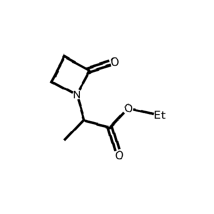 CCOC(=O)C(C)N1CCC1=O